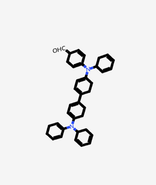 O=CC1C=CC(N(C2=CC=C(C3=CC=C(N(C4=CCCC=C4)C4C=CC=CC4)CC3)CC2)C2C=CC=CC2)=CC1